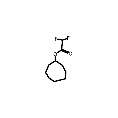 O=C(OC1CCCCCCC1)C(F)F